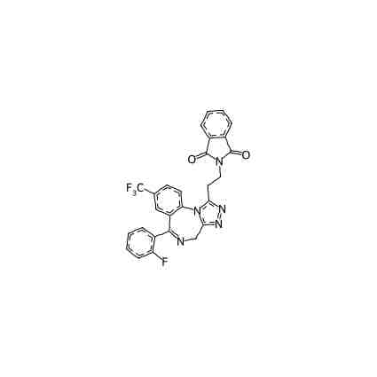 O=C1c2ccccc2C(=O)N1CCc1nnc2n1-c1ccc(C(F)(F)F)cc1C(c1ccccc1F)=NC2